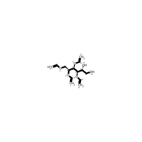 C=COC[C@H](OC=C)[C@@H](OC=C)[C@H](OC=C)[C@H](O)CO